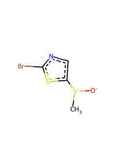 C[S+]([O-])c1cnc(Br)s1